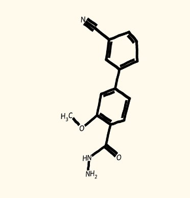 COc1cc(-c2cccc(C#N)c2)ccc1C(=O)NN